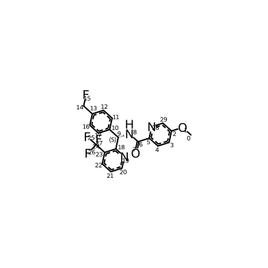 COc1ccc(C(=O)N[C@@H](c2ccc(CF)cc2)c2ncccc2C(F)(F)F)nc1